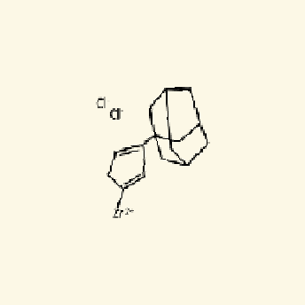 [Cl-].[Cl-].[Zr+2][C]1=CC(C23CC4CC(CC(C4)C2)C3)=CC1